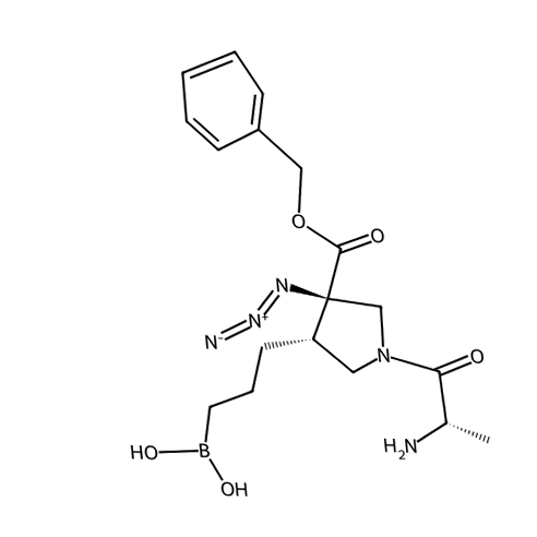 C[C@H](N)C(=O)N1C[C@H](CCCB(O)O)[C@](N=[N+]=[N-])(C(=O)OCc2ccccc2)C1